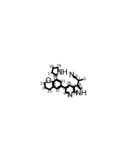 CC(C#N)c1c[nH]c2ncc(-c3cc4c(c([C@@H]5CCCN5)c3)OCCC4)cc12